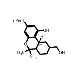 CCCCCc1cc(O)c2c(c1)OC(C)(C)C1CCC(CO)C[C@@H]21